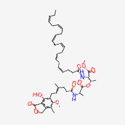 CC/C=C\C/C=C\C/C=C\C/C=C\C/C=C\C/C=C\CCC(=O)NC(C(=O)OC)C(C)OC(=O)C(C)NC(=O)CC/C(C)=C/Cc1c(O)c2c(c(C)c1OC)COC2=O